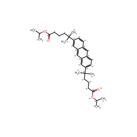 CC(C)OC(=O)CCCC(C)(C)c1ccc2cc3ccc(C(C)(C)CCCC(=O)OC(C)C)cc3cc2c1